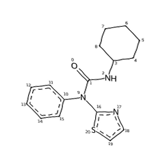 O=C(NC1CCCCC1)N(c1ccccc1)c1nccs1